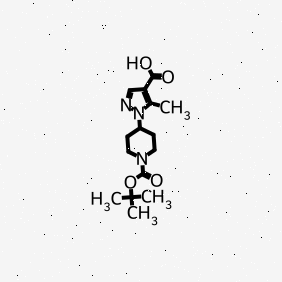 Cc1c(C(=O)O)cnn1C1CCN(C(=O)OC(C)(C)C)CC1